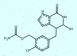 NC(=O)OCc1cc(CN2c3cc[nH]c3C(=O)NC2S)ccc1Cl